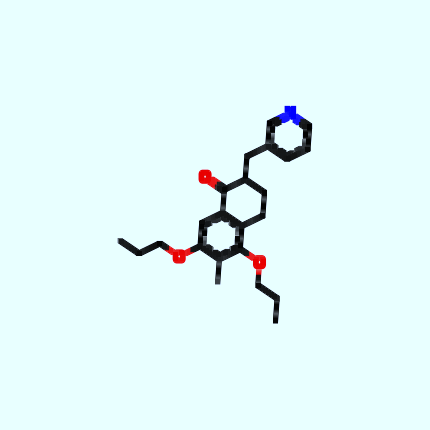 CCCOc1cc2c(c(OCCC)c1C)CCC(Cc1cccnc1)C2=O